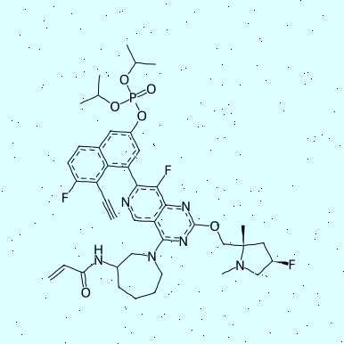 C#Cc1c(F)ccc2cc(OP(=O)(OC(C)C)OC(C)C)cc(-c3ncc4c(N5CCCCC(NC(=O)C=C)C5)nc(OC[C@]5(C)C[C@@H](F)CN5C)nc4c3F)c12